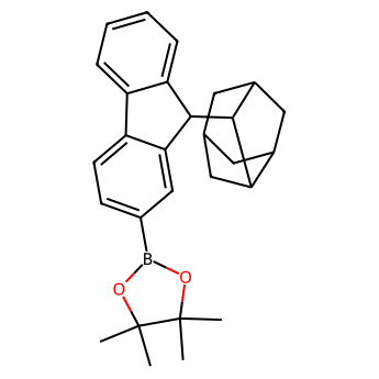 CC1(C)OB(c2ccc3c(c2)C(C2C4CC5CC(C4)C2C5)c2ccccc2-3)OC1(C)C